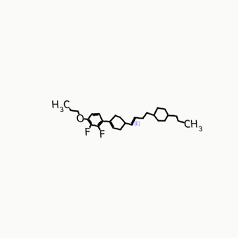 CCCOc1ccc(C2=CCC(/C=C/CCC3CCC(CCC)CC3)CC2)c(F)c1F